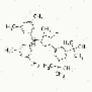 CC1=C([SiH](c2cc(C)cc(C)c2)c2cc(C)cc(C)c2)CC(c2cc(C(C)(C)C)cc(C(C)(C)C)c2)=[C]1[Ti]